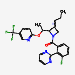 CC/C=C1\CN(C(=O)c2cccc(F)c2-c2ncccn2)C1C(C)Oc1ccc(C(F)(F)F)cn1